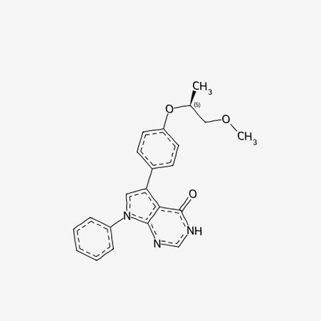 COC[C@H](C)Oc1ccc(-c2cn(-c3ccccc3)c3nc[nH]c(=O)c23)cc1